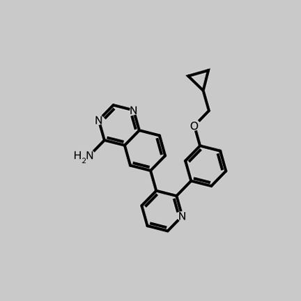 Nc1ncnc2ccc(-c3cccnc3-c3cccc(OCC4CC4)c3)cc12